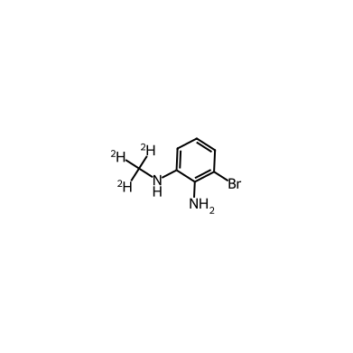 [2H]C([2H])([2H])Nc1cccc(Br)c1N